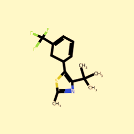 Cc1nc(C(C)(C)C)c(C2C=CC=C(C(F)(F)F)C2)s1